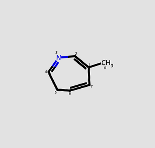 CC1=CN=CCC=C1